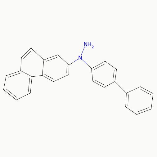 NN(c1ccc(-c2ccccc2)cc1)c1ccc2c(ccc3ccccc32)c1